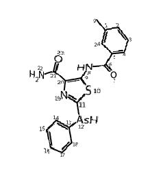 Cc1cccc(C(=O)Nc2sc([AsH]c3ccccc3)nc2C(N)=O)c1